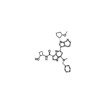 CO[C@@H]1CCC[C@H]1n1cc(-c2cc(N(C)Cc3ccccc3)n3ncc(C(=O)NC4CCC4O)c3n2)c2cccnc21